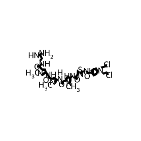 Cn1cc(NC(=O)c2cc(NC(=O)c3cc(NC(=O)c4csc(NC(=O)c5ccc(N(CCCl)CCCl)cc5)n4)cn3C)cn2C)cc1C(=O)NCCC(=N)N